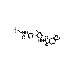 Cc1ccc(NC(=O)C2(c3ccc4c(c3)OCO4)CC2)cc1-c1ccc(C(=O)NCCC(C)(C)C)cc1